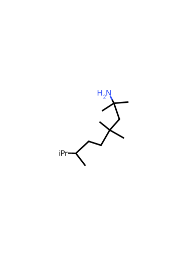 CC(C)C(C)CCC(C)(C)CC(C)(C)N